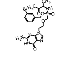 CC(=O)C(C)NP(=O)(COCCn1cnc2c(=O)[nH]c(N)nc21)OCc1cccc(Br)c1